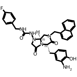 Nc1cc(C[C@H]2C(=O)N(Cc3cccc4ccccc34)C[C@@H]3N(NC(=O)NCc4ccc(F)cc4)CC(=O)N32)ccc1O